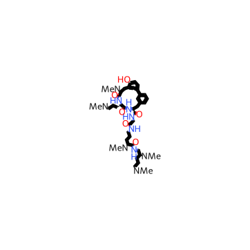 CNCCC[C@@H](CNC(=O)[C@H](CCCNC(=O)CNC(=O)[C@@H]1Cc2cccc(c2)-c2ccc(O)c(c2)C[C@H](NC)C(=O)N[C@@H](CCCNC)C(=O)N1)NC)NC